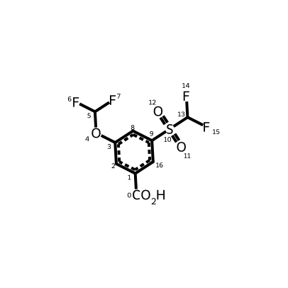 O=C(O)c1cc(OC(F)F)cc(S(=O)(=O)C(F)F)c1